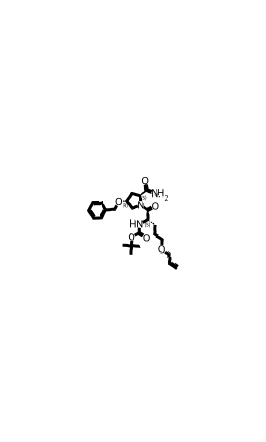 C=CCOCCC[C@H](NC(=O)OC(C)(C)C)C(=O)N1C[C@H](OCc2ccccc2)C[C@H]1C(N)=O